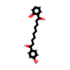 O=C(CCCCCCCCC(=O)c1ccccc1O)c1ccc(O)cc1